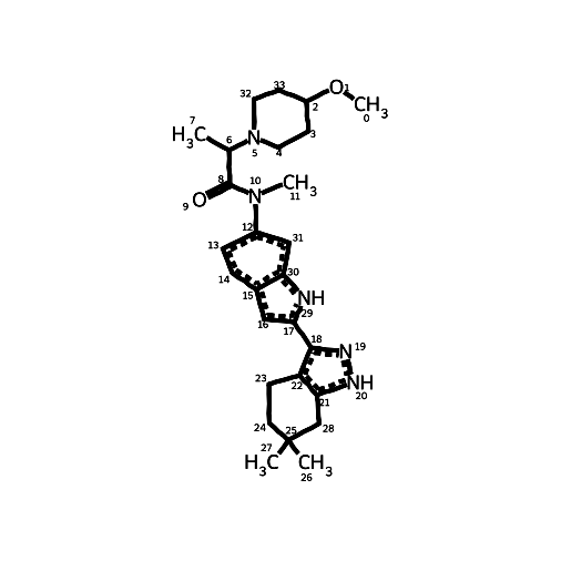 COC1CCN(C(C)C(=O)N(C)c2ccc3cc(-c4n[nH]c5c4CCC(C)(C)C5)[nH]c3c2)CC1